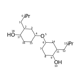 CC(C)CC1CC(OC2CCC(O)C(CC(C)C)C2)CCC1O